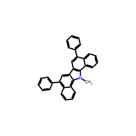 Cn1c2c3ccccc3c(-c3ccccc3)cc2c2cc(-c3ccccc3)c3ccccc3c21